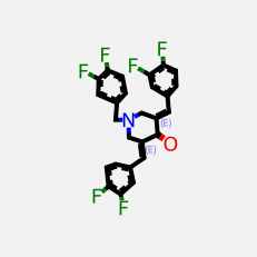 O=C1/C(=C/c2ccc(F)c(F)c2)CN(Cc2ccc(F)c(F)c2)C/C1=C\c1ccc(F)c(F)c1